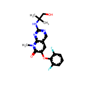 Cn1c(=O)c(Oc2c(F)cccc2F)cc2cnc(NC(C)(C)CO)nc21